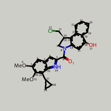 COc1cc2cc(C(=O)N3C[C@@H](CCl)c4c3cc(O)c3ccccc43)[nH]c2c(C2CC2)c1OC